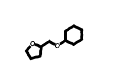 [CH](OC1CCCCC1)C1CCCO1